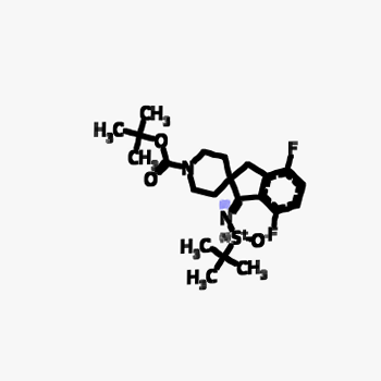 CC(C)(C)OC(=O)N1CCC2(CC1)Cc1c(F)ccc(F)c1/C2=N\[S@+]([O-])C(C)(C)C